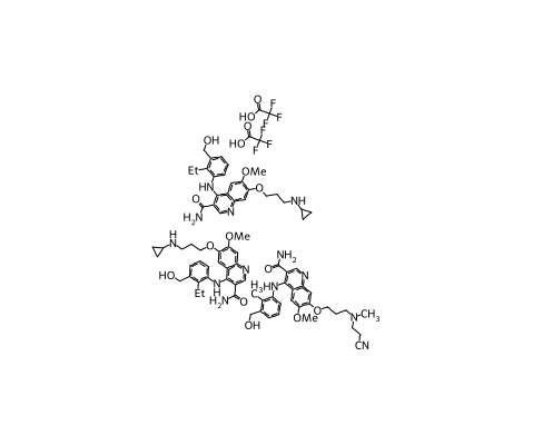 CCc1c(CO)cccc1Nc1c(C(N)=O)cnc2cc(OC)c(OCCCNC3CC3)cc12.CCc1c(CO)cccc1Nc1c(C(N)=O)cnc2cc(OCCCNC3CC3)c(OC)cc12.COc1cc2c(Nc3cccc(CO)c3C)c(C(N)=O)cnc2cc1OCCCN(C)CCC#N.O=C(O)C(F)(F)F.O=C(O)C(F)(F)F